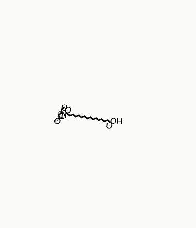 COC[C@@H]1C[C@@H](OC)CN1C(=O)CCCCCCCCCCCCCCC(=O)O